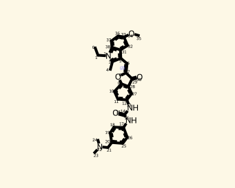 CCn1c(C)c(/C=C2\Oc3ccc(NC(=O)Nc4ccc(CN(C)C)cc4)cc3C2=O)c2cc(OC)ccc21